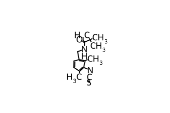 Cc1ccc(CNC(=O)C(C)(C)C)c(C)c1N=C=S